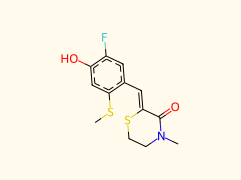 CSc1cc(O)c(F)cc1C=C1SCCN(C)C1=O